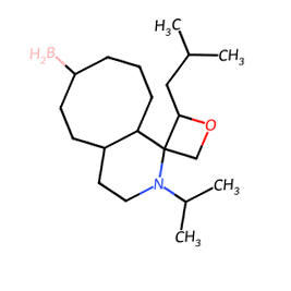 BC1CCCC2C(CC1)CCN(C(C)C)C21COC1CC(C)C